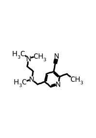 CCc1ncc(CN(C)CCN(C)C)cc1C#N